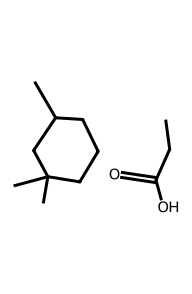 CC1CCCC(C)(C)C1.CCC(=O)O